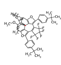 COc1cc2oc(-c3ccc(C(C)(C)C)cc3)c(C3=C(c4c(-c5ccc(C(C)(C)C)cc5)oc5cc(OC)c(OC)cc45)C(F)(F)C(F)(F)C3(F)F)c2cc1OC